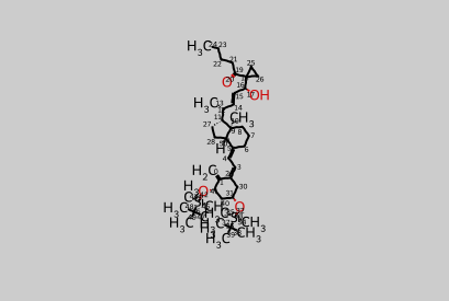 C=C1/C(=C\C=C2/CCC[C@]3(C)[C@@H]([C@H](C)/C=C/[C@H](O)C4(C(=O)CCCC)CC4)CC[C@@H]23)C[C@@H](O[Si](C)(C)C(C)(C)C)C[C@@H]1O[Si](C)(C)C(C)(C)C